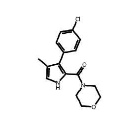 Cc1c[nH]c(C(=O)N2CCOCC2)c1-c1ccc(Cl)cc1